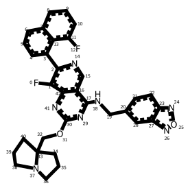 Fc1c(-c2cccc3cccc(F)c23)ncc2c(NCc3ccc4nonc4c3)nc(OCC34CCCN3CCC4)nc12